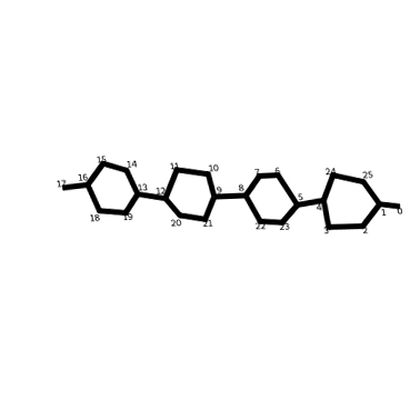 CC1CCC(C2CCC(C3CCC(C4CCC(C)CC4)CC3)CC2)CC1